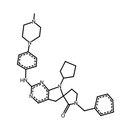 CN1CCN(c2ccc(Nc3ncc4c(n3)N(C3CCCC3)C3(CCN(Cc5ccccc5)C3=O)C4)cc2)CC1